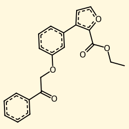 CCOC(=O)c1occc1-c1cccc(OCC(=O)c2ccccc2)c1